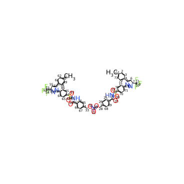 Cc1ccc(-c2cc(C(F)(F)F)nn2-c2ccc(S(=O)(=O)NC(=O)c3ccc(CO[N+](=O)OCc4ccc(C(=O)NS(=O)(=O)c5ccc(-n6nc(C(F)(F)F)cc6-c6ccc(C)cc6)cc5)cc4)cc3)cc2)cc1